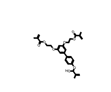 C=C(C)C(=O)OCCOc1cc(OCCOC(=O)C(=C)C)cc(-c2ccc(OC(O)C(=C)C)cc2)c1